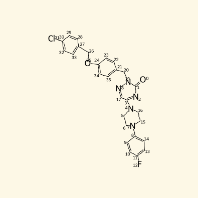 O=c1nc(N2CCN(c3ccc(F)cc3)CC2)cnn1Cc1ccc(OCc2ccc(Cl)cc2)cc1